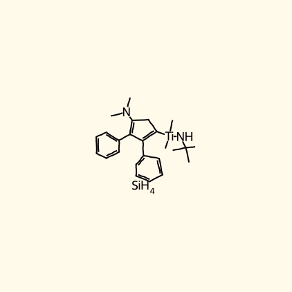 CN(C)C1=C(c2ccccc2)C(c2ccccc2)=[C]([Ti]([CH3])([CH3])[NH]C(C)(C)C)C1.[SiH4]